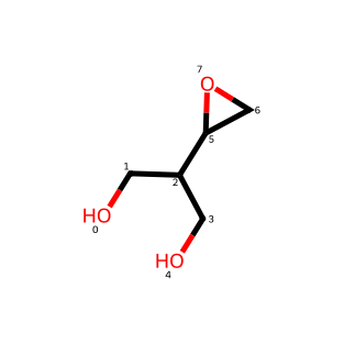 OCC(CO)C1CO1